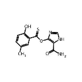 Cc1ccc(O)c(C(=S)Oc2nc[nH]c2C(N)=O)c1